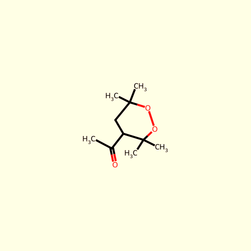 CC(=O)C1CC(C)(C)OOC1(C)C